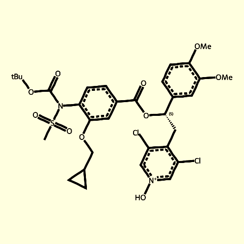 COc1ccc([C@H](Cc2c(Cl)c[n+](O)cc2Cl)OC(=O)c2ccc(N(C(=O)OC(C)(C)C)S(C)(=O)=O)c(OCC3CC3)c2)cc1OC